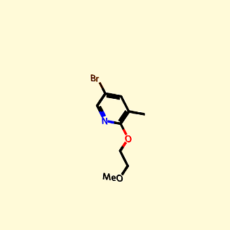 COCCOc1ncc(Br)cc1C